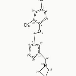 Clc1ccc(OCc2cccc(CN3CCC3)c2)c(Cl)c1